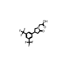 O=C(O)CN1CC(c2cc(C(F)(F)F)cc(C(F)(F)F)c2)CC1=O